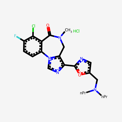 CCCN(CCC)Cc1cnc(-c2ncn3c2CN(C)C(=O)c2c-3ccc(F)c2Cl)o1.Cl